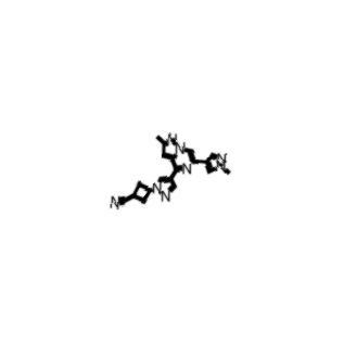 Cc1cc2c(-c3cnn(C4CC(C#N)C4)c3)nc(-c3cnn(C)c3)cn2n1